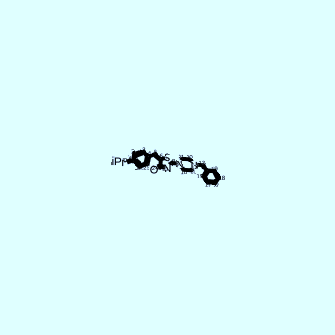 CC(C)c1ccc(C=C2SC(N3CCN(Cc4ccccc4)CC3)=NC2=O)cc1